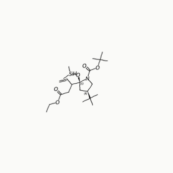 C=CC(CC(=O)OCC)[C@@]1(O[SiH](C)C)C[C@H](C(C)(C)C)CN1C(=O)OC(C)(C)C